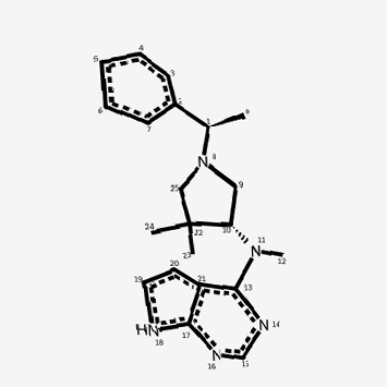 C[C@H](c1ccccc1)N1C[C@H](N(C)c2ncnc3[nH]ccc23)C(C)(C)C1